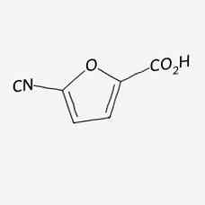 [C-]#[N+]c1ccc(C(=O)O)o1